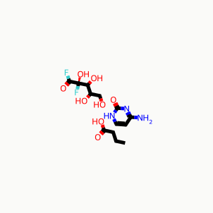 CCCC(=O)O.Nc1cc[nH]c(=O)n1.O=C(F)[C@@](O)(F)C(O)C(O)CO